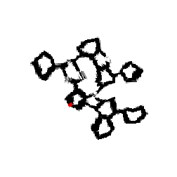 c1ccc(-c2nc(-c3ccccc3)nc(-c3cccc4oc5c(-c6ccccc6)cc(-n6c7ccccc7c7c8ccccc8c(-c8ccccc8)cc76)cc5c34)n2)cc1